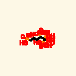 O=P(O)(O)CCCC(C(P(=O)(O)O)(P(=O)(O)O)P(=O)(O)O)P(=O)(O)O